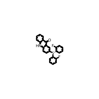 O=c1c2ccccc2[nH]c2ccc([S+](c3ccccc3F)c3ccccc3F)cc12